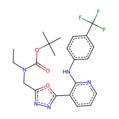 CCN(Cc1nnc(-c2cccnc2Nc2ccc(C(F)(F)F)cc2)o1)C(=O)OC(C)(C)C